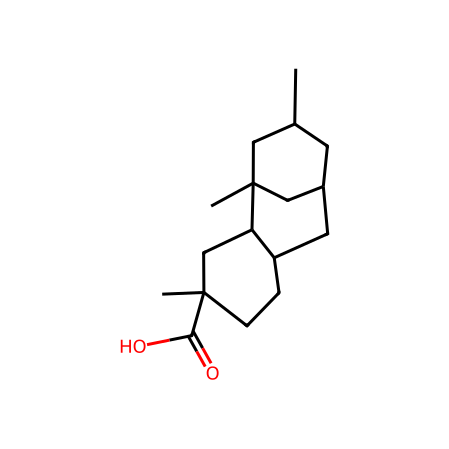 CC1CC2CC3CCC(C)(C(=O)O)CC3C(C)(C1)C2